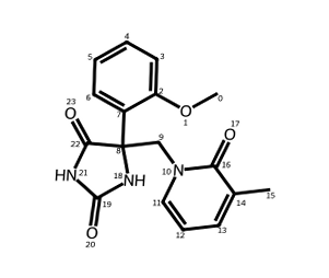 COc1ccccc1C1(Cn2cccc(C)c2=O)NC(=O)NC1=O